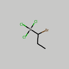 CCC(Br)[Si](Cl)(Cl)Cl